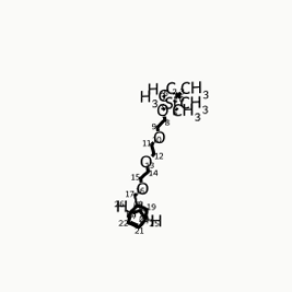 CC(C)(C)[Si](C)(C)OCCOCCOCCOC[C@H]1C[C@H]2C=C[C@@H]1C2